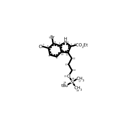 CCOC(=O)c1[nH]c2c(Br)c(Cl)ccc2c1CCCO[Si](C)(C)C(C)(C)C